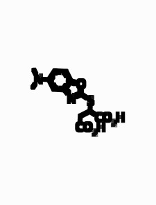 CN(C)c1ccc2oc(SC(CC(=O)O)C(=O)O)nc2c1